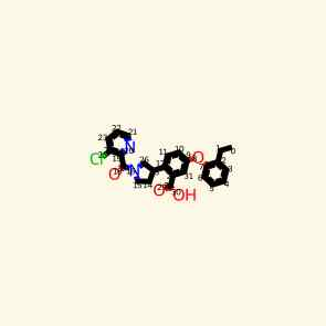 CCc1ccccc1Oc1ccc(C2CCN(C(=O)c3ncccc3Cl)C2)c(C(=O)O)c1